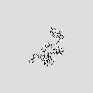 CC(C)(C)[C@H](NC(=O)c1cc2cc(C(F)(F)P(=O)(O)O)ccc2s1)C(=O)N1Cc2cc(OCC(=O)NCCC#Cc3cccc4c3C(=O)N(C3CCC(=O)NC3=O)C4=O)ccc2C[C@H]1C(=O)N1CCC[C@H](c2ccccc2)C1